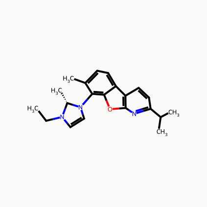 CCN1C=CN(c2c(C)ccc3c2oc2nc(C(C)C)ccc23)[C@H]1C